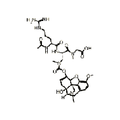 COc1ccc2c3c1OC1C(OC(=O)N(C)C[C@H](NC(=O)[C@H](CCCNC(=N)N)NC(C)=O)C(=O)N(C)CC(=O)O)=CCC4(O)[C@@H](C2)N(C)CC[C@]314